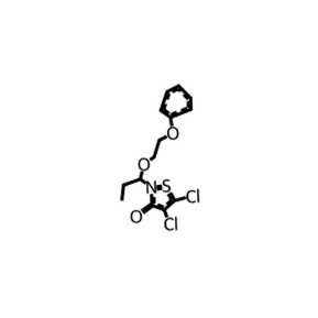 CCC(OCCOc1ccccc1)n1sc(Cl)c(Cl)c1=O